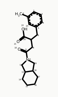 Cc1cccc(CC(CC(=O)N2CC3CCCCC3C2)C(=O)O)c1